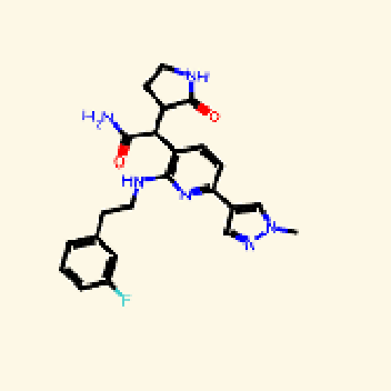 Cn1cc(-c2ccc(C(C(N)=O)C3CCNC3=O)c(NCCc3cccc(F)c3)n2)cn1